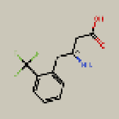 N[C@H](CC(=O)O)Cc1ccccc1C(F)(F)F